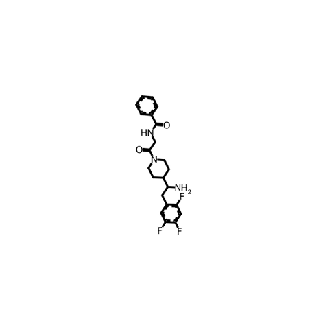 NC(Cc1cc(F)c(F)cc1F)C1CCN(C(=O)CNC(=O)c2ccccc2)CC1